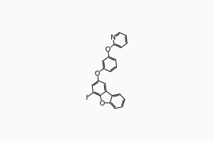 Ic1cc(Oc2cccc(Oc3ccccn3)c2)cc2c1oc1ccccc12